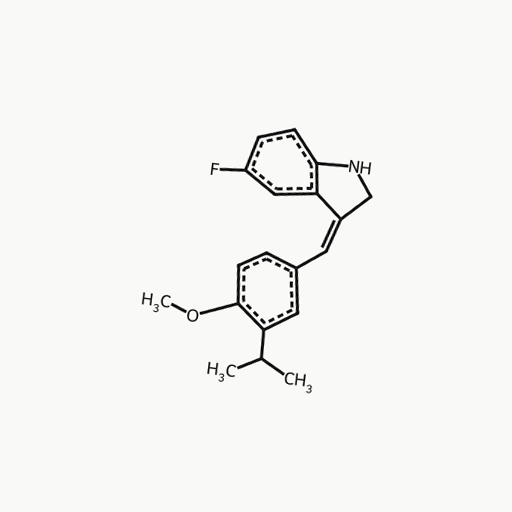 COc1ccc(/C=C2/CNc3ccc(F)cc32)cc1C(C)C